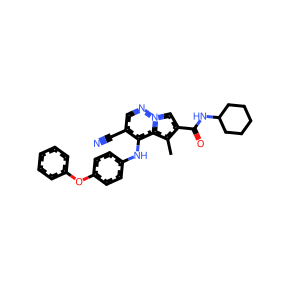 Cc1c(C(=O)NC2CCCCC2)cn2ncc(C#N)c(Nc3ccc(Oc4ccccc4)cc3)c12